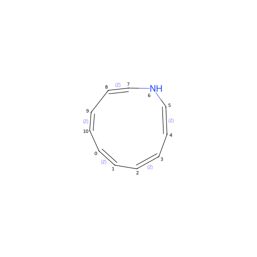 C1=C\C=C/C=C\N/C=C\C=C/1